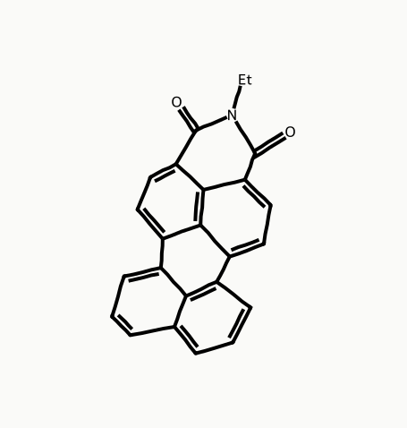 CCN1C(=O)c2ccc3c4cccc5cccc(c6ccc(c2c36)C1=O)c54